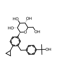 CC(C)(O)c1ccc(Cc2cc([C@@H]3OC(CO)[C@@H](O)C(O)[C@H]3O)ccc2C2CC2)cc1